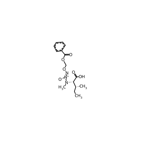 CC[C@@H](C)[C@@H](C(=O)O)N(C)[N+]([O-])=NOCOC(=O)c1ccccc1